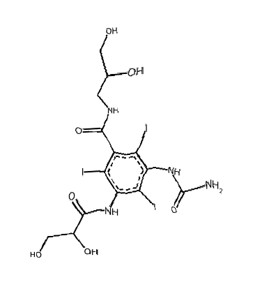 NC(=O)Nc1c(I)c(NC(=O)C(O)CO)c(I)c(C(=O)NCC(O)CO)c1I